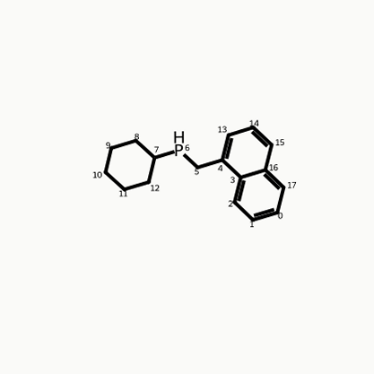 c1ccc2c(CPC3CCCCC3)cccc2c1